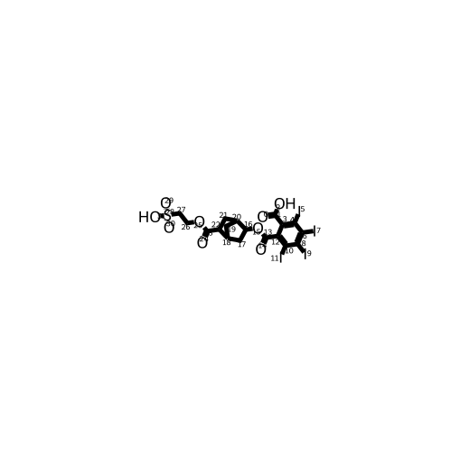 O=C(O)c1c(I)c(I)c(I)c(I)c1C(=O)OC1CC2CC1CC2C(=O)OCCS(=O)(=O)O